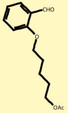 CC(=O)OCCCCCOc1ccccc1C=O